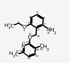 CCOc1cccc(N)c1COc1nc(C)ccc1C